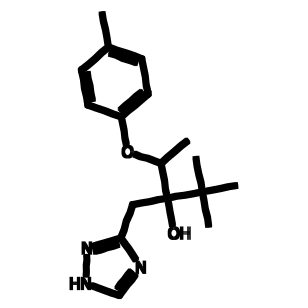 Cc1ccc(OC(C)C(O)(Cc2nc[nH]n2)C(C)(C)C)cc1